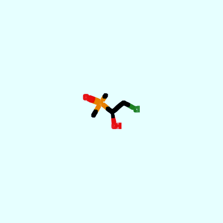 CP(C)(=O)[C@H](O)CCl